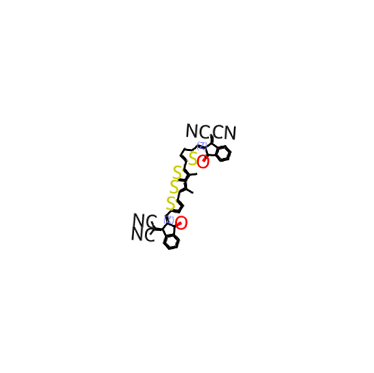 Cc1c(C2=CCC(/C=C3\C(=O)c4ccccc4C3=C(C#N)C#N)S2)sc2sc(-c3ccc(/C=C4\C(=O)c5ccccc5C4=C(C#N)C#N)s3)c(C)c12